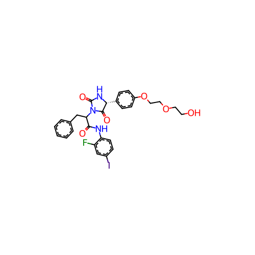 O=C(Nc1ccc(I)cc1F)C(Cc1ccccc1)N1C(=O)N[C@H](c2ccc(OCCOCCO)cc2)C1=O